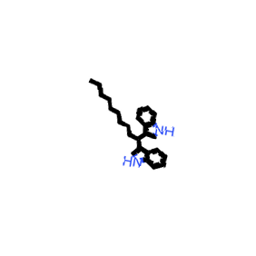 CCCCCCCCCC(c1c[nH]c2ccccc12)c1c[nH]c2ccccc12